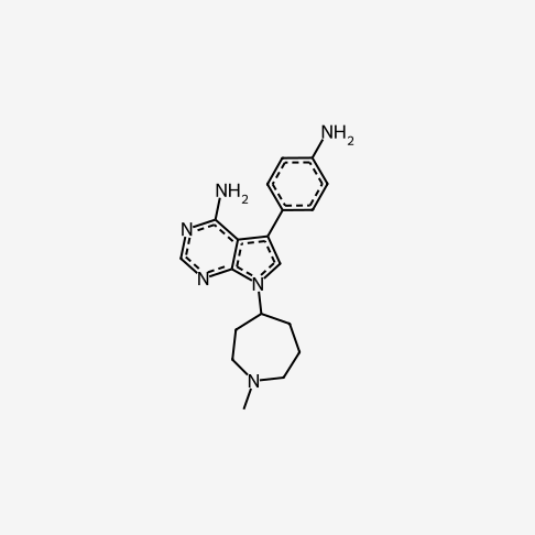 CN1CCCC(n2cc(-c3ccc(N)cc3)c3c(N)ncnc32)CC1